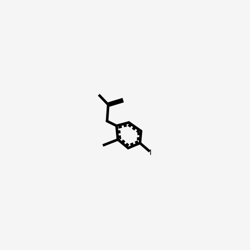 C=C(C)Cc1ccc(I)cc1C